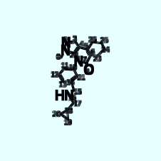 Cn1ncc2c3c(c(=O)n(-c4cccc(CNCC5CC5)c4)c21)CCCC3